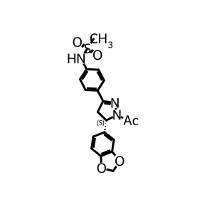 CC(=O)N1N=C(c2ccc(NS(C)(=O)=O)cc2)C[C@H]1c1ccc2c(c1)OCO2